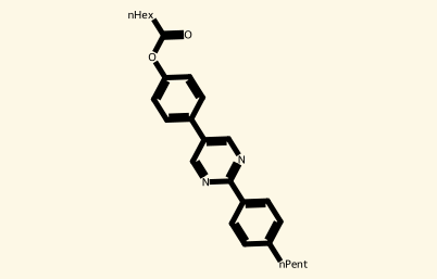 CCCCCCC(=O)Oc1ccc(-c2cnc(-c3ccc(CCCCC)cc3)nc2)cc1